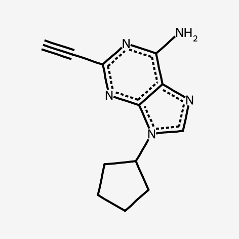 C#Cc1nc(N)c2ncn(C3CCCC3)c2n1